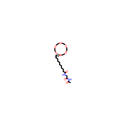 CC(=O)NC(=O)CNC(=O)CCCCCCCC/C=C\[Si]1(C)OCCOCCOCCOCCOCCO1